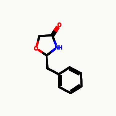 O=C1CO[C@H](Cc2ccccc2)N1